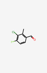 Cc1c([C]=O)ccc(F)c1Cl